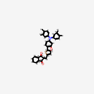 Cc1ccc(N(c2ccc(C)c(C)c2)c2ccc3c(c2)oc2cc(C=C4C(=O)c5ccccc5C4=O)sc23)cc1C